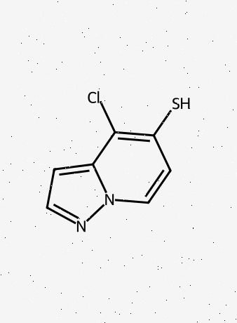 Sc1ccn2nccc2c1Cl